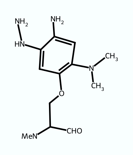 CNC(C=O)COc1cc(NN)c(N)cc1N(C)C